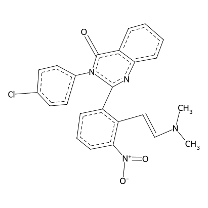 CN(C)C=Cc1c(-c2nc3ccccc3c(=O)n2-c2ccc(Cl)cc2)cccc1[N+](=O)[O-]